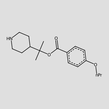 CCCOc1ccc(C(=O)OC(C)(C)C2CCNCC2)cc1